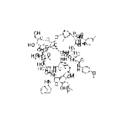 CNCc1c(O)cc2c(c1O)-c1cc(ccc1O)[C@H]1NC(=O)[C@@H]3NC(=O)[C@H](CC(=O)NC(=O)Nc4ccc(OC)cc4)NC(=O)[C@H](NC(=O)[C@@H](CC(C)C)NC)[C@H](O)c4ccc(c(C)c4)Oc4cc3cc(c4O[C@@H]3O[C@H](CO)[C@@H](O)[C@H](O)[C@H]3O[C@H]3C[C@](C)(N)[C@H](O)[C@H](C)O3)Oc3ccc(cc3Cl)[C@@H](O)[C@H](NC1=O)C(=O)N[C@@H]2C(=O)NC1C2CC3CC(C2)CC1C3